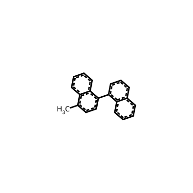 Cc1ccc(-c2cccc3ccccc23)c2ccccc12